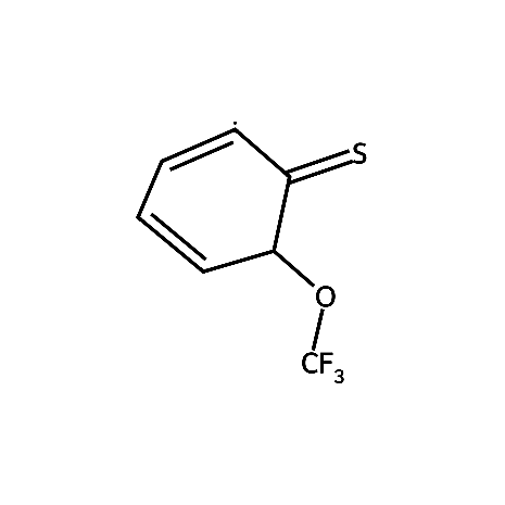 FC(F)(F)OC1C=CC=[C]C1=S